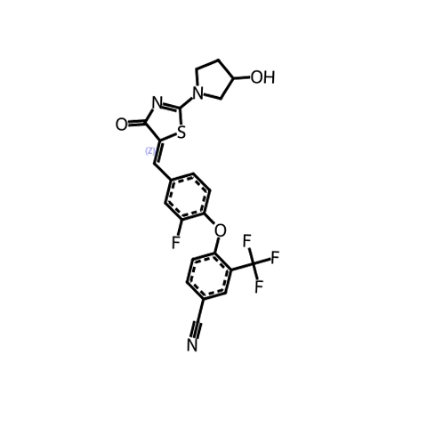 N#Cc1ccc(Oc2ccc(/C=C3\SC(N4CCC(O)C4)=NC3=O)cc2F)c(C(F)(F)F)c1